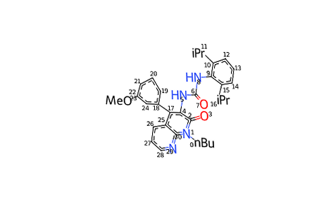 CCCCn1c(=O)c(NC(=O)Nc2c(C(C)C)cccc2C(C)C)c(-c2cccc(OC)c2)c2cccnc21